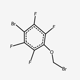 Fc1c(F)c(OCBr)c(F)c(F)c1Br